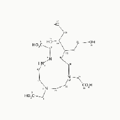 O=C(O)CN1CCNN(CC(=O)O)C(C(CCO)C(O)CO)CN(CC(=O)O)CC1